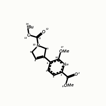 COC(=O)c1ccc(C2=CCN(C(=O)OC(C)(C)C)C2)c(OC)n1